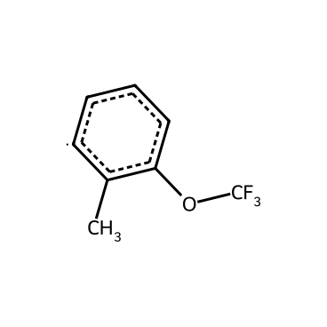 Cc1[c]cccc1OC(F)(F)F